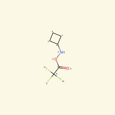 O=C(ONC1CCC1)C(F)(F)F